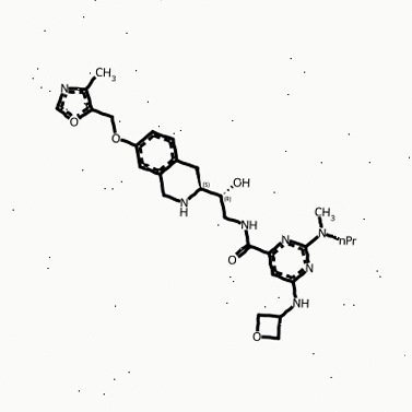 CCCN(C)c1nc(NC2COC2)cc(C(=O)NC[C@@H](O)[C@@H]2Cc3ccc(OCc4ocnc4C)cc3CN2)n1